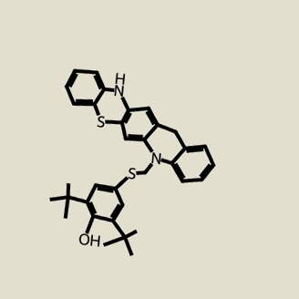 CC(C)(C)c1cc(SCN2c3ccccc3Cc3cc4c(cc32)Sc2ccccc2N4)cc(C(C)(C)C)c1O